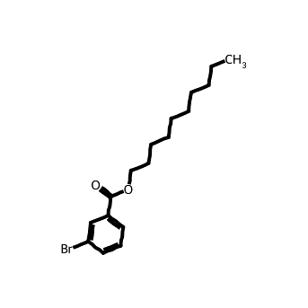 CCCCCCCCCCOC(=O)c1cccc(Br)c1